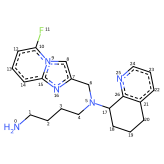 NCCCCN(Cc1cn2c(F)cccc2n1)C1CCCc2cccnc21